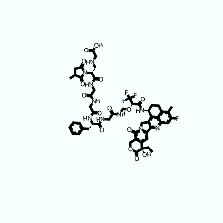 CC[C@@]1(O)C(=O)OCc2c1cc1n(c2=O)Cc2c-1nc1cc(F)c(C)c3c1c2[C@@H](NC(=O)[C@H](OCNC(=O)CNC(=O)[C@H](Cc1ccccc1)NC(=O)CNC(=O)CNC(=O)[C@@H](CNCC(=O)O)N1C(=O)CC(C)C1=O)C(F)(F)F)CC3